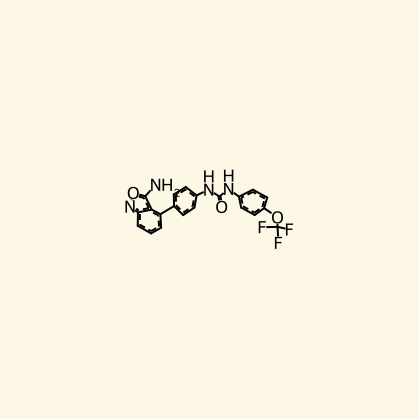 Nc1onc2cccc(-c3ccc(NC(=O)Nc4ccc(OC(F)(F)F)cc4)cc3)c12